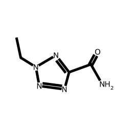 CCn1nnc(C(N)=O)n1